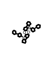 c1ccc(-c2ccc(-n3c4ccccc4c4ccc5c(c43)Oc3ccc4c6ccccc6n(-c6cccc(-c7ccccc7)c6)c4c3O5)cc2)cc1